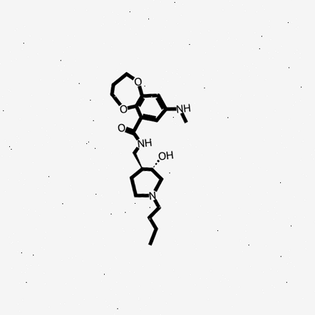 CCCCN1CC[C@@H](CNC(=O)c2cc(NC)cc3c2OCCCO3)[C@H](O)C1